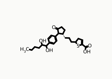 CCCCC(O)C(O)c1ccc(C2C(=O)CC[C@@H]2CCCC2CC=C(C(=O)O)S2)cc1